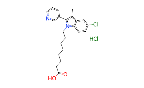 Cc1c(-c2cccnc2)n(CCCCCCCC(=O)O)c2ccc(Cl)cc12.Cl